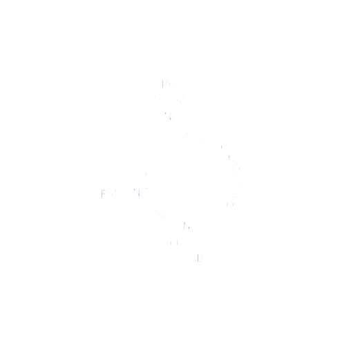 CC(C)(C)OC(=O)N1CCC2Cc3cccc4c3cc(n4CC(F)(F)F)C#CCN(C(=O)OC(C)(C)C)c3cccc(c3)OCCOCCOCCC2C1